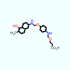 Cc1ccc2cc(NCOc3ccc(NCOCCC(=O)O)cc3)ccc2c1O